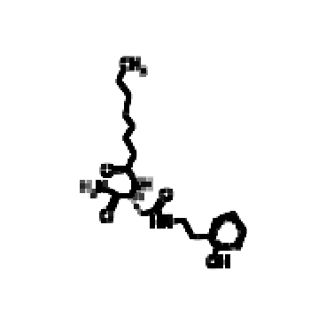 CCCCCCCC(=O)N[C@H](CC(=O)NCCc1ccccc1O)C(N)=O